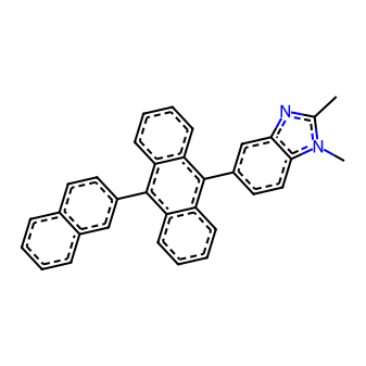 Cc1nc2cc(-c3c4ccccc4c(-c4ccc5ccccc5c4)c4ccccc34)ccc2n1C